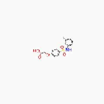 Cc1cccc(NS(=O)(=O)c2ccc(OCC(=O)O)cc2)c1